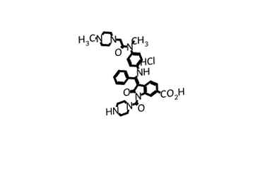 CN1CCN(CC(=O)N(C)c2ccc(NC(=C3C(=O)N(C(=O)N4CCNCC4)c4cc(C(=O)O)ccc43)c3ccccc3)cc2)CC1.Cl